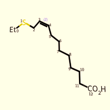 CCSC/C=C\CCCCCCCC(=O)O